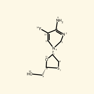 NC1=NCN([C@@H]2CS[C@H](CO)O2)C=C1F